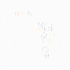 Cc1ccc(C(F)(F)Oc2nsc(NC(=O)NCCCCN3CCC(O)C3)c2C(N)=O)c(F)c1